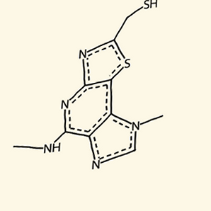 CNc1nc2nc(CS)sc2c2c1ncn2C